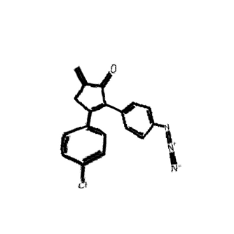 C=C1CC(c2ccc(Cl)cc2)=C(c2ccc(N=[N+]=[N-])cc2)C1=O